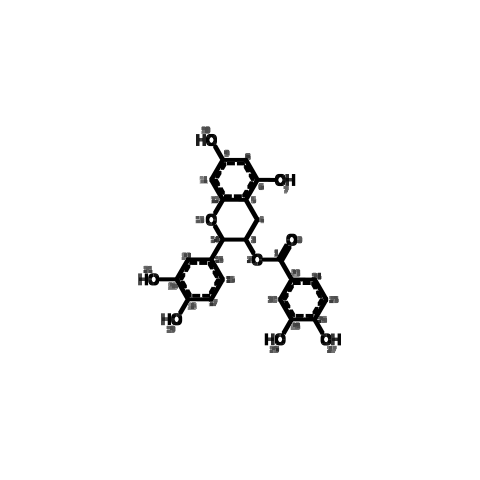 O=C(OC1Cc2c(O)cc(O)cc2OC1c1ccc(O)c(O)c1)c1ccc(O)c(O)c1